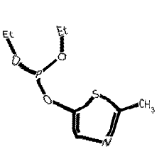 CCOP(OCC)Oc1cnc(C)s1